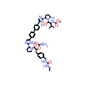 CCNC(=O)NCc1ccc(C[C@H](OC(N)=O)C(=O)N2CCC[C@H]2c2ncc(-c3ccc(-c4ccc(-c5cnc([C@@H]6CCCN6C(=O)[C@@H](NC(=O)OC)C(C)C)[nH]5)cc4)cc3)[nH]2)cc1